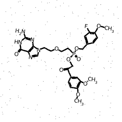 COc1ccc(COP(=O)(CCOCCn2cnc3c(=O)[nH]c(N)nc32)OCC(=O)c2ccc(OC)c(OC)c2)cc1F